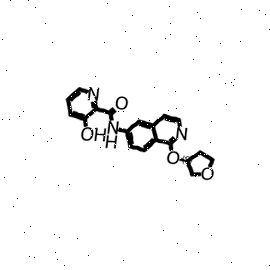 O=C(Nc1ccc2c(O[C@H]3CCOC3)nccc2c1)c1ncccc1O